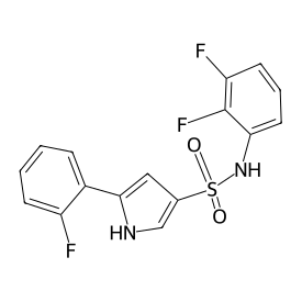 O=S(=O)(Nc1cccc(F)c1F)c1c[nH]c(-c2ccccc2F)c1